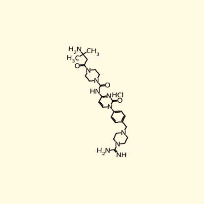 CC(C)(N)CC(=O)N1CCN(C(=O)Nc2ccn(-c3ccc(CN4CCN(C(=N)N)CC4)cc3)c(=O)n2)CC1.Cl